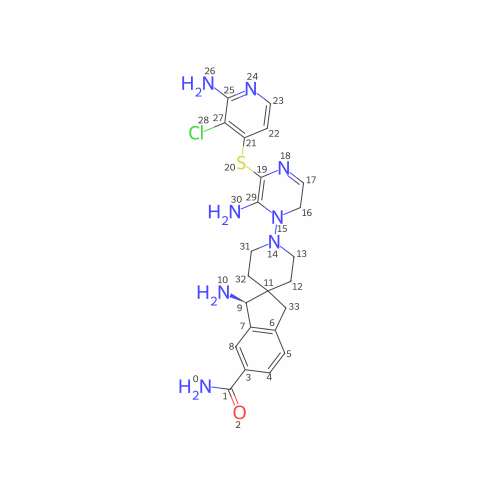 NC(=O)c1ccc2c(c1)[C@@H](N)C1(CCN(N3CC=NC(Sc4ccnc(N)c4Cl)=C3N)CC1)C2